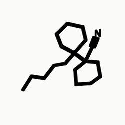 CCCCCC1(C2(C#N)CCCCC2)CCCCC1